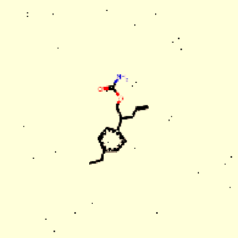 C=CCC(COC(N)=O)c1ccc(CC)cc1